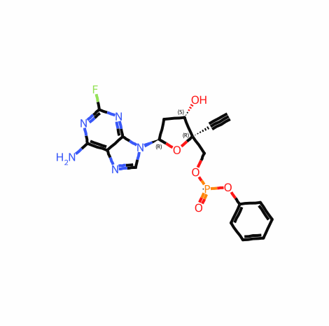 C#C[C@]1(CO[P](=O)Oc2ccccc2)O[C@@H](n2cnc3c(N)nc(F)nc32)C[C@@H]1O